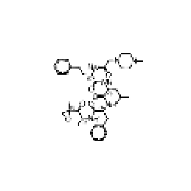 CC(C)C[C@H](NC(=O)[C@H](CCc1ccccc1)NC(=O)CN1CCN(C)CC1)C(=O)N[C@@H](Cc1ccccc1)C(=O)N[C@@H](C)C(=O)[C@@]1(C)CO1